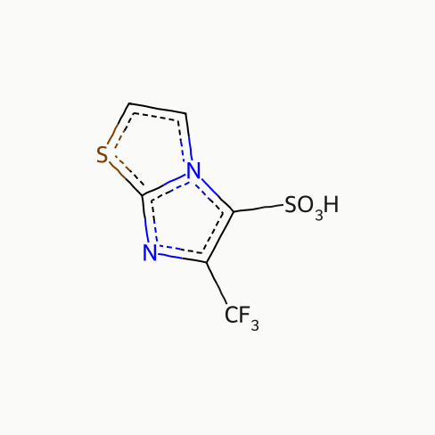 O=S(=O)(O)c1c(C(F)(F)F)nc2sccn12